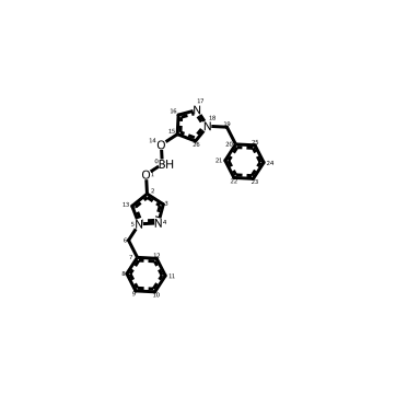 B(Oc1cnn(Cc2ccccc2)c1)Oc1cnn(Cc2ccccc2)c1